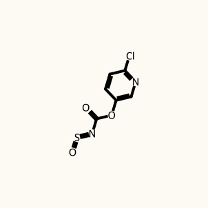 O=S=NC(=O)Oc1ccc(Cl)nc1